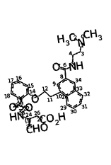 CN(C)CCNC(=O)c1cc(CCOc2ccccc2S(=O)(=O)N[C@H](C=O)CC(=O)O)c2ccccc2c1